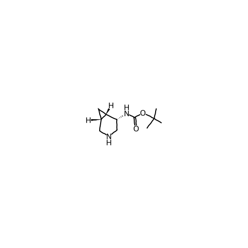 CC(C)(C)OC(=O)N[C@@H]1CNC[C@@H]2C[C@@H]21